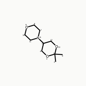 CC1(C)OCC(N2CCOCC2)CO1